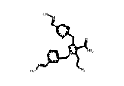 CCCc1c(C(N)=O)c(Cc2ccc(C=NN)cc2)cn1Cc1cccc(C=NN)c1